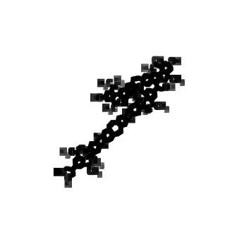 CC(C)c1cc(O)cc(C(C)C)c1-c1ccc2cc3c(cc2c1)C=Cc1cc2cc(-c4c(C(C)C)cc(O)cc4C(C)COCC(CO)c4cc(C(C)C)c(-n5c(=O)c6cc7nc8cc9ccc%10cc%11nc%12cc%13c(=O)n(-c%14c(C(C)C)cc(C(CO)CO)cc%14C(C)C)c(=O)c%13cc%12nc%11cc%10ccc9cc8nc7cc6c5=O)c(C(C)C)c4)ccc2cc1O3